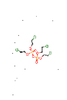 O=P(OCCCl)(OCCCl)OP(=O)(OCCCl)OCCCl